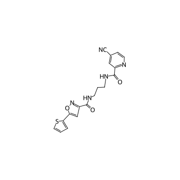 N#Cc1ccnc(C(=O)NCCCNC(=O)c2cc(-c3cccs3)on2)c1